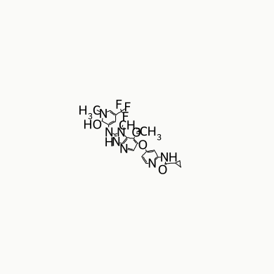 COc1c(Oc2ccnc(NC(=O)C3CC3)c2)cnc2nc(NC3=CC(C(F)(F)F)=CN(C)C3O)n(C)c12